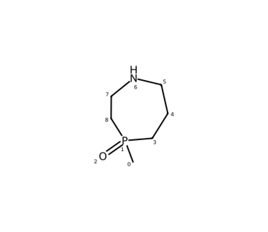 CP1(=O)CCCNCC1